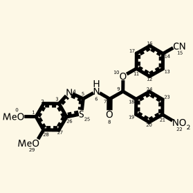 COc1cc2nc(NC(=O)C(Oc3ccc(C#N)cc3)c3ccc([N+](=O)[O-])cc3)sc2cc1OC